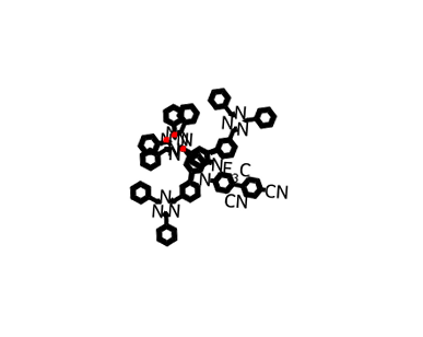 N#Cc1ccc(-c2cc(-n3c4ccc(-c5nc(-c6ccccc6)nc(-c6ccccc6)n5)cc4c4cc(-c5nc(-c6ccccc6)nc(-c6ccccc6)n5)ccc43)c(-n3c4ccc(-c5nc(-c6ccccc6)nc(-c6ccccc6)n5)cc4c4cc(-c5nc(-c6ccccc6)nc(-c6ccccc6)n5)ccc43)cc2C#N)c(C(F)(F)F)c1